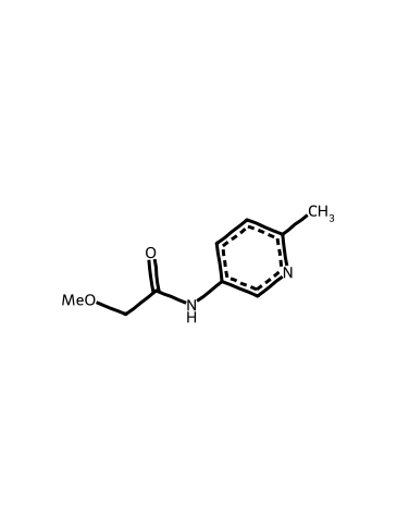 COCC(=O)Nc1ccc(C)nc1